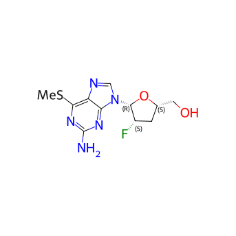 CSc1nc(N)nc2c1ncn2[C@@H]1O[C@H](CO)C[C@@H]1F